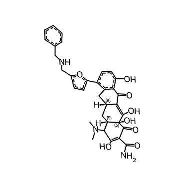 CN(C)C1C(O)=C(C(N)=O)C(=O)[C@@]2(O)C(O)=C3C(=O)c4c(O)ccc(-c5ccc(CNCc6ccccc6)o5)c4C[C@H]3C[C@@H]12